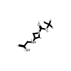 C=C(S)CNC1CN(C(=O)OC(C)(C)C)C1